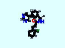 C[C@H](NC(=O)/C=C/c1ccccc1F)c1cccc(-c2cncnc2)c1